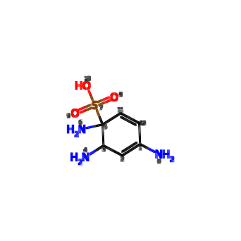 NC1=CC(N)C(N)(S(=O)(=O)O)C=C1